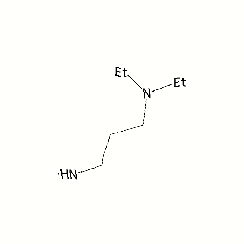 CCN(CC)CCC[NH]